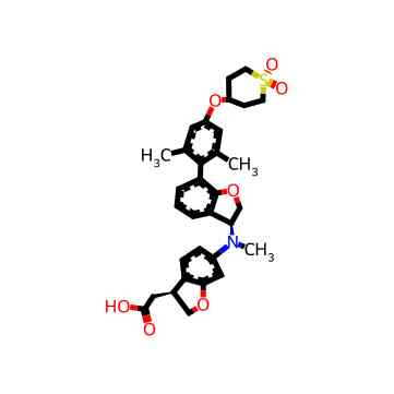 Cc1cc(OC2CCS(=O)(=O)CC2)cc(C)c1-c1cccc2c1OC[C@H]2N(C)c1ccc2c(c1)OC[C@H]2CC(=O)O